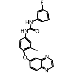 O=C(Nc1cccc(F)c1)Nc1ccc(Oc2ccc3nccnc3c2)c(F)c1